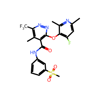 Cc1cc(F)c(Oc2nnc(C(F)(F)F)c(C)c2C(=O)Nc2cccc(S(C)(=O)=O)c2)c(C)n1